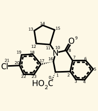 O=C(O)[C@H]1c2ccccc2C(=O)N(C2CCCC2)[C@H]1c1ccc(Cl)cc1